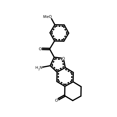 COc1cccc(C(=O)c2oc3cc4c(cc3c2N)C(=O)CCC4)c1